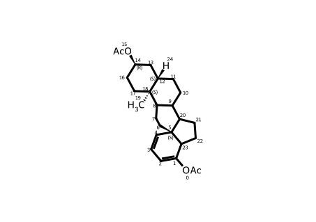 CC(=O)OC1=CC=C[C@]23CCC4C(CC[C@H]5C[C@H](OC(C)=O)CC[C@]45C)C2CCC13